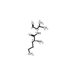 CCCC[C@H](N)C(=O)N[C@H]([C]=O)C(C)C